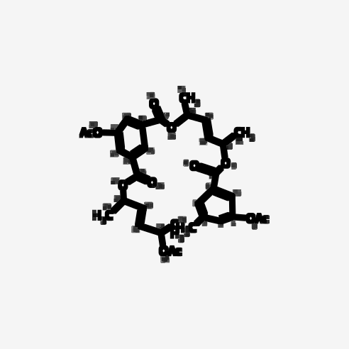 CC(=O)Oc1cc(C)cc(C(=O)OC(C)/C=C/C(C)OC(=O)c2cc(OC(C)=O)cc(C(=O)OC(C)/C=C/C(C)OC(C)=O)c2)c1